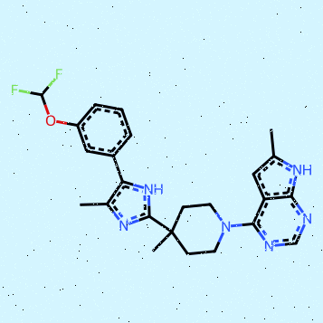 Cc1cc2c(N3CCC(C)(c4nc(C)c(-c5cccc(OC(F)F)c5)[nH]4)CC3)ncnc2[nH]1